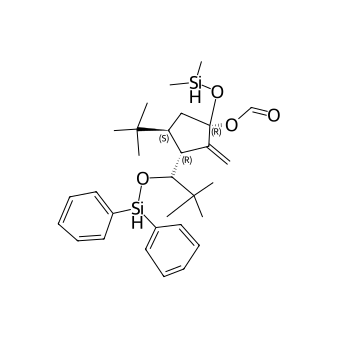 C=C1[C@H](C(O[SiH](c2ccccc2)c2ccccc2)C(C)(C)C)[C@@H](C(C)(C)C)C[C@@]1(OC=O)O[SiH](C)C